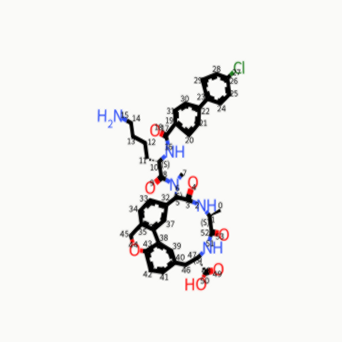 C[C@@H]1NC(=O)[C@@H](N(C)C(=O)[C@H](CCCCN)NC(=O)c2ccc(-c3ccc(Cl)cc3)cc2)c2ccc3c(c2)-c2cc(ccc2OC3)C[C@@H](C(=O)O)NC1=O